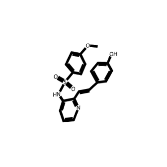 COc1ccc(S(=O)(=O)Nc2cccnc2C=Cc2ccc(O)cc2)cc1